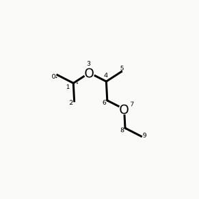 [CH2][C](C)OC(C)COCC